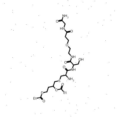 CCC(=O)OCCC(CSCC(N)C(=O)NC(CO)C(=O)NCCOCCC(=O)NCC(N)=O)OC(=O)CC